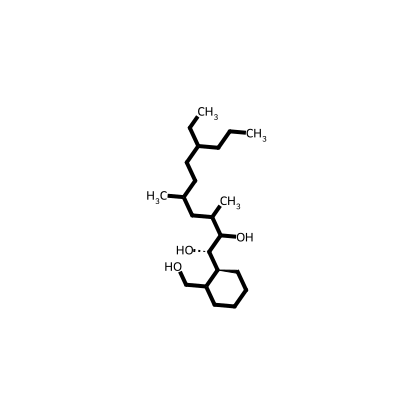 CCCC(CC)CCC(C)CC(C)C(O)[C@@H](O)[C@H]1CCCCC1CO